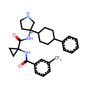 O=C(NC1(C(=O)N[C@@]2(C3CCC(c4ccccc4)CC3)CCNC2)CC1)c1cccc(C(F)(F)F)c1